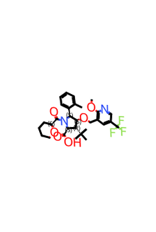 COc1ncc(C(F)(F)F)cc1CO[C@H]1[C@H](C(C)(C)C)[C@@H](C(=O)O)N(C(=O)[C@@H]2CCCCO2)[C@H]1c1ccccc1C